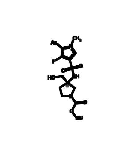 CC(=O)c1c(F)c(S(=O)(=O)N[C@@]2(CO)CCN(C(=O)OC(C)(C)C)C2)cn1C